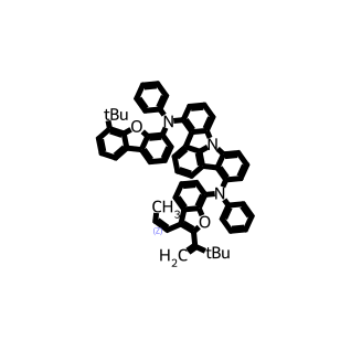 C=C(c1oc2c(N(c3ccccc3)c3cccc4c3c3cccc5c6c(N(c7ccccc7)c7cccc8c7oc7c(C(C)(C)C)cccc78)cccc6n4c35)cccc2c1/C=C\C)C(C)(C)C